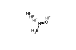 BN=O.F.F.F.F